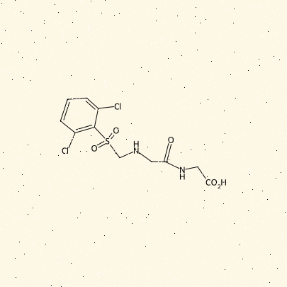 O=C(O)CNC(=O)CNCS(=O)(=O)c1c(Cl)cccc1Cl